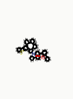 c1ccc(-c2ccccc2N(c2ccc(-c3cccc4c3oc3ccccc34)cc2)c2ccc3c(c2)c2ccccc2c2ccccc2c2ccccc2c2cc4c(cc32)sc2ccccc24)cc1